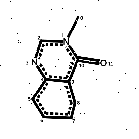 Cn1cnc2cc[c]cc2c1=O